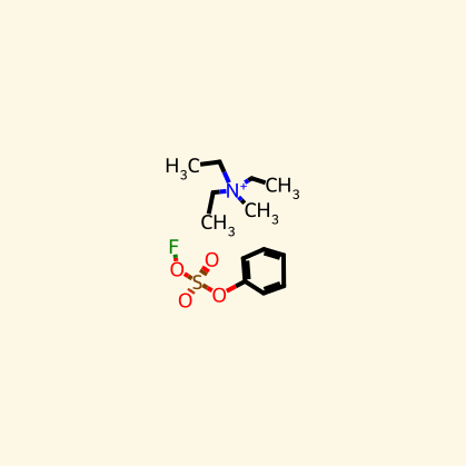 CC[N+](C)(CC)CC.O=S(=O)(OF)Oc1ccccc1